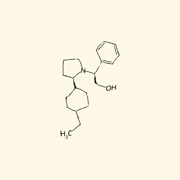 CCC1CCC([C@H]2CCCN2[C@H](CO)c2ccccc2)CC1